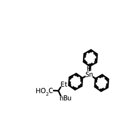 CCCCC(CC)C(=O)O.c1cc[c]([SnH]([c]2ccccc2)[c]2ccccc2)cc1